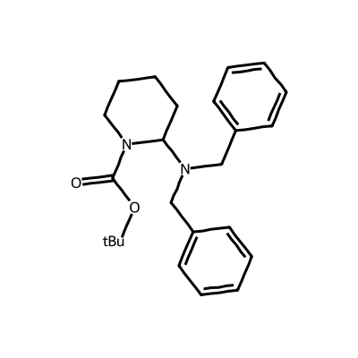 CC(C)(C)OC(=O)N1CCCCC1N(Cc1ccccc1)Cc1ccccc1